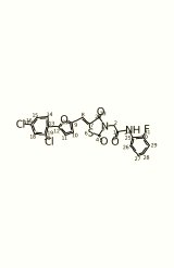 O=C(CN1C(=O)S/C(=C\c2ccc(-c3ccc(Cl)cc3Cl)o2)C1=O)Nc1ccccc1F